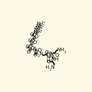 NCC(=O)[NH][Ni]([NH]C(=O)CN)[NH]C(=O)CN.[Ni+2].[Ni+2].[Ni+2].[Ni+2].[Ni+2].[Ni+2].[O-]B([O-])[O-].[O-]B([O-])[O-].[O-]B([O-])[O-].[O-]B([O-])[O-]